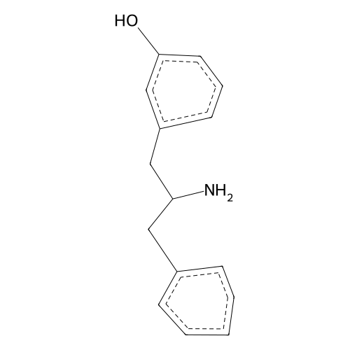 NC(Cc1ccccc1)Cc1cccc(O)c1